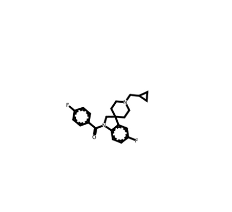 O=C(c1ccc(F)cc1)N1CC2(CCN(CC3CC3)CC2)c2cc(F)ccc21